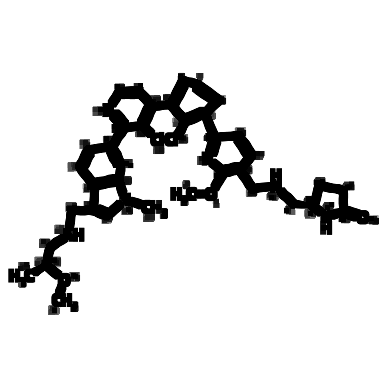 COc1nc(-c2cccc(-c3ccnc(-c4ccc5c(CNC[C@H](C)OC)cn(C)c5c4)c3Cl)c2Cl)ccc1CNC[C@H]1CCC(=O)N1